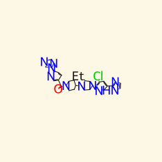 CC[C@H]1CN(c2ncc(-c3ncc[nH]3)cc2Cl)CCN1C1CCN(C(=O)c2ccc(-n3cncn3)nc2)CC1